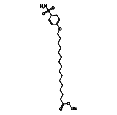 CC(C)(C)OC(=O)CCCCCCCCCCCCCCCOc1ccc(S(N)(=O)=O)cc1